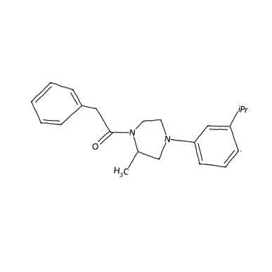 CC(C)c1[c]ccc(N2CCN(C(=O)Cc3ccccc3)C(C)C2)c1